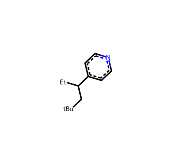 CCC(CC(C)(C)C)c1ccncc1